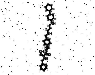 CS[C@H](NCc1ccccn1)C(=O)NCc1ccc(CNCCCNC2CCN(C3CCCCC3)CC2)cc1